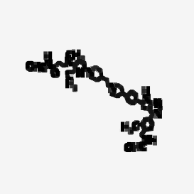 Cc1cc(-c2ncnc3[nH]c(-c4ccc(C5CCN(CCC6CCN(c7ccc(N(C)CCC(=O)NC=O)c(C)n7)CC6)CC5)cc4)cc23)ccc1CNC=O